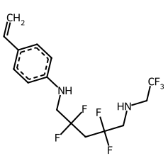 C=Cc1ccc(NCC(F)(F)CC(F)(F)CNCC(F)(F)F)cc1